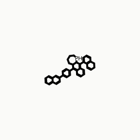 C1=Cc2c(cccc2C2=c3ccccc3=C(c3ccc(-c4ccc5ccccc5c4)cc3)C3CCCCPC23)CC1